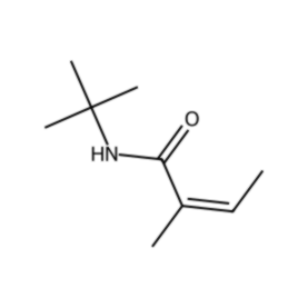 CC=C(C)C(=O)NC(C)(C)C